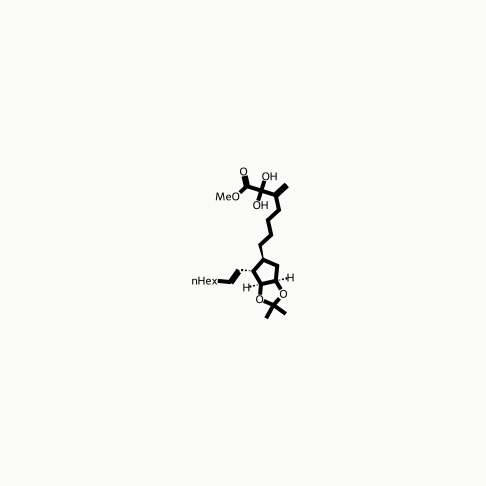 C=C(CCCC[C@H]1C[C@H]2OC(C)(C)O[C@H]2[C@@H]1C=CCCCCCC)C(O)(O)C(=O)OC